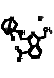 CCn1nc(CN[C@@H]2CN3CCC2CC3)c2c(C(=O)[O-])cccc21.[Li+]